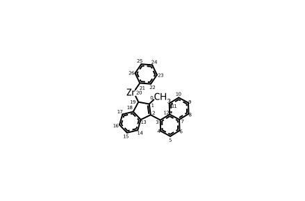 CC1=C(c2cccc3ccccc23)c2ccccc2[CH]1[Zr][c]1ccccc1